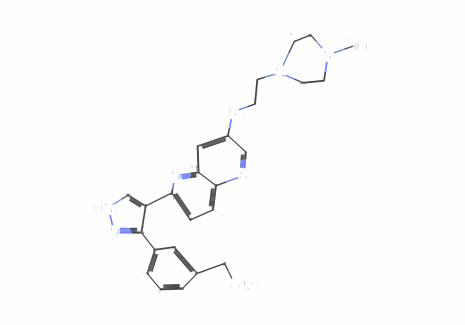 COCc1cccc(-c2n[nH]cc2-c2ccc3ncc(NCCN4CCN(C(C)C)CC4)cc3n2)c1